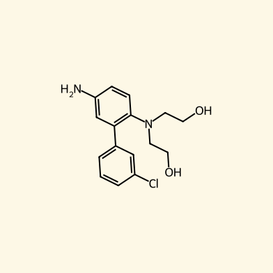 Nc1ccc(N(CCO)CCO)c(-c2cccc(Cl)c2)c1